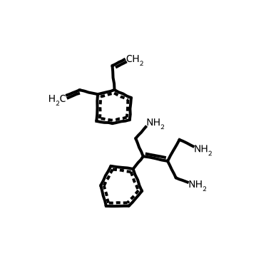 C=Cc1ccccc1C=C.NCC(CN)=C(CN)c1ccccc1